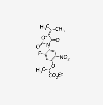 CCOC(=O)C(C)Oc1cc(F)c(N2C(=O)OC(=C(C)C)C2=O)cc1[N+](=O)[O-]